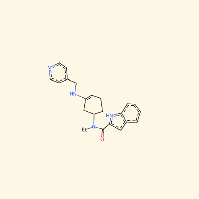 CCN(C(=O)c1cc2ccccc2[nH]1)C1CCC=C(NCc2ccncc2)C1